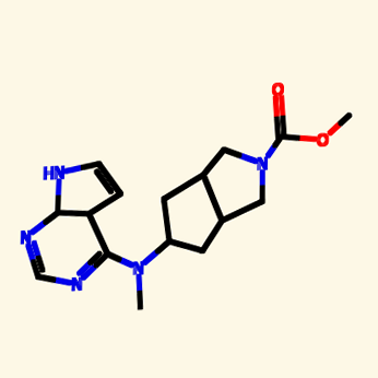 COC(=O)N1CC2CC(N(C)C3=NC=NC4NC=CC34)CC2C1